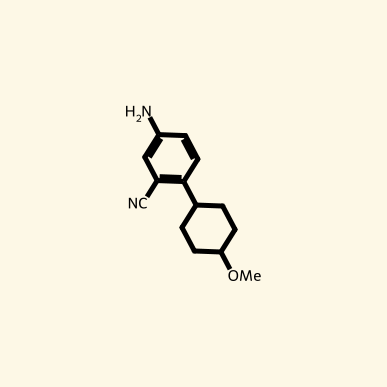 COC1CCC(c2ccc(N)cc2C#N)CC1